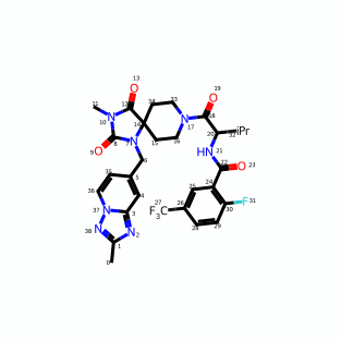 Cc1nc2cc(CN3C(=O)N(C)C(=O)C34CCN(C(=O)C(NC(=O)c3cc(C(F)(F)F)ccc3F)C(C)C)CC4)ccn2n1